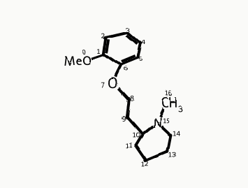 COc1ccccc1OCCC1CCCCN1C